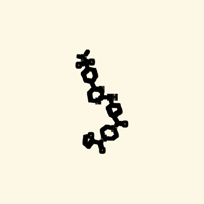 CN(C)S(=O)(=O)c1ccc(-c2ccnc(Nc3ccc(C(=O)N4CCN(C(=O)c5ccco5)CC4)cc3)n2)cc1